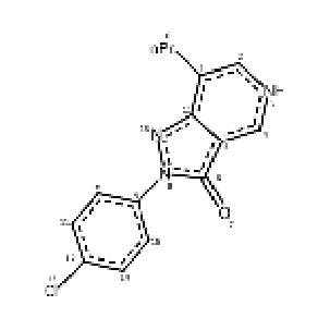 CCCc1c[nH]cc2c(=O)n(-c3ccc(Cl)cc3)nc1-2